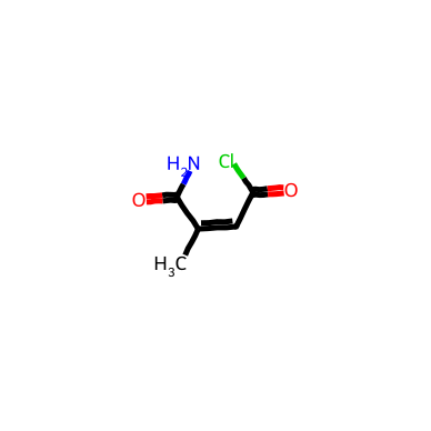 CC(=CC(=O)Cl)C(N)=O